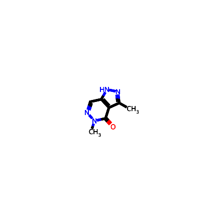 Cc1n[nH]c2cnn(C)c(=O)c12